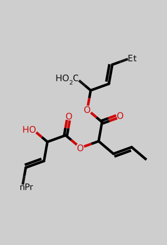 CC=CC(OC(=O)C(O)C=CCCC)C(=O)OC(C=CCC)C(=O)O